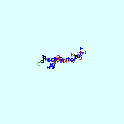 C[C@@H]1CN([C@H]2CC[C@H](CNc3ccc(S(=O)(=O)NC(=O)c4ccc(N5CCN(CC6=C(c7ccc(Cl)cc7)CC(C)(C)CC6)CC5)cc4Oc4cnc5[nH]ccc5c4)cc3NO)CC2)CCN1Cc1cc(Br)c2c(c1)C(=O)N(C1CCC(=O)NC1=O)C2